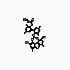 Cc1cc(C)c(OC(=O)OC(C)(C)C)c(-c2cc(C)cc(C)c2Op2oc3c(C(C)C)cc(C)c(C)c3c3c(C)c(C)cc(C(C)C)c3o2)c1